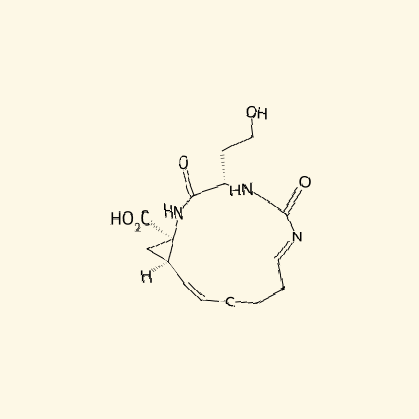 O=C1/N=C/CCC/C=C\[C@H]2C[C@@]2(C(=O)O)NC(=O)[C@H](CCO)N1